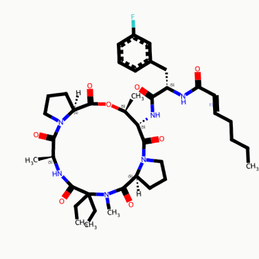 CCCC/C=C/C(=O)N[C@@H](Cc1cccc(F)c1)C(=O)N[C@@H]1C(=O)N2CCC[C@H]2C(=O)N(C)C(CC)(CC)C(=O)N[C@@H](C)C(=O)N2CCC[C@H]2C(=O)O[C@H]1C